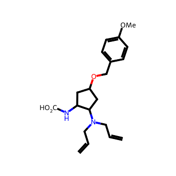 C=CCN(CC=C)C1CC(OCc2ccc(OC)cc2)CC1NC(=O)O